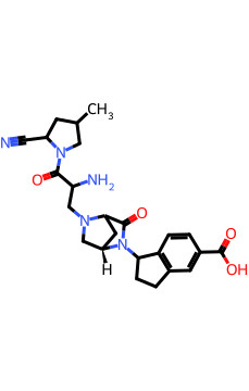 CC1CC(C#N)N(C(=O)C(N)CN2C[C@@H]3CC2C(=O)N3C2CCc3cc(C(=O)O)ccc32)C1